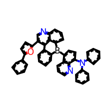 c1ccc(-c2ccc(-c3cnc4cccc5c4c3-c3ccccc3B5c3ccc(N(c4ccccc4)c4ccccc4)c4ncccc34)o2)cc1